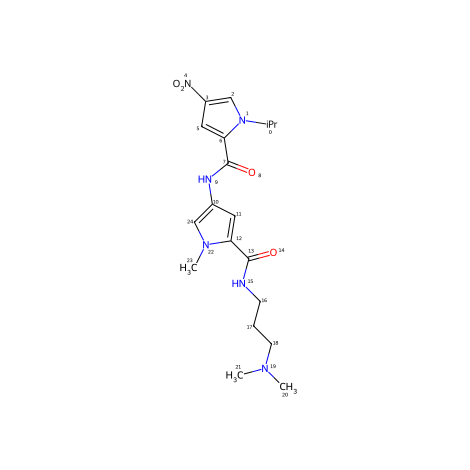 CC(C)n1cc([N+](=O)[O-])cc1C(=O)Nc1cc(C(=O)NCCCN(C)C)n(C)c1